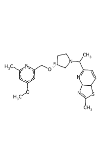 COc1cc(C)nc(CO[C@@H]2CCN(C(C)C3=NC4N=C(C)SC4C=C3)C2)c1